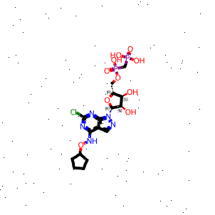 O=P(O)(O)CP(=O)(O)OC[C@H]1O[C@@H](n2ncc3c(NOC4CCCC4)nc(Cl)nc32)[C@H](O)[C@@H]1O